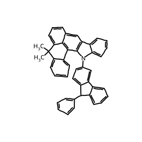 CC1(C)c2ccccc2-c2c3c1cccc3cc1c3ccccc3n(-c3ccc4c(c3)-c3ccccc3C4c3ccccc3)c21